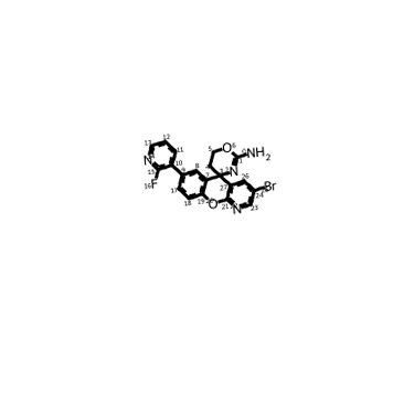 NC1=NC2(CCO1)c1cc(-c3cccnc3F)ccc1Oc1ncc(Br)cc12